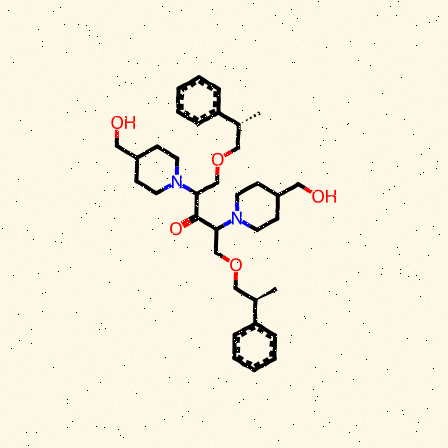 C[C@H](COCC(C(=O)C(COC[C@@H](C)c1ccccc1)N1CCC(CO)CC1)N1CCC(CO)CC1)c1ccccc1